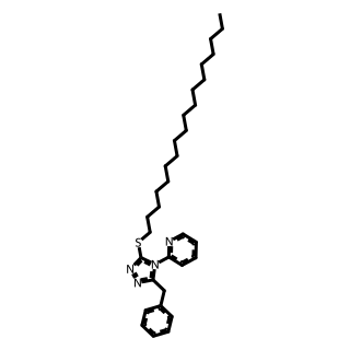 CCCCCCCCCCCCCCCCCCSc1nnc(Cc2ccccc2)n1-c1ccccn1